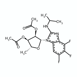 CC(=O)O[C@@H]1[C@H](OC(C)=O)[C@@H](C)O[C@H]1n1c(NC(C)C)nc2c(F)c(F)c(F)cc21